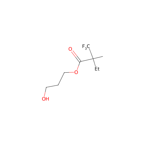 CCC(C)(C(=O)OCCCO)C(F)(F)F